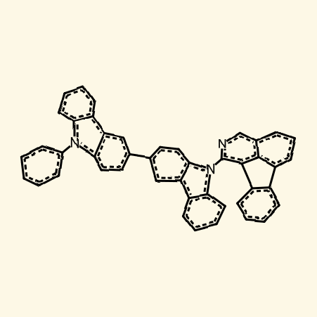 c1ccc(-n2c3ccccc3c3cc(-c4ccc5c(c4)c4ccccc4n5-c4ncc5cccc6c5c4-c4ccccc4-6)ccc32)cc1